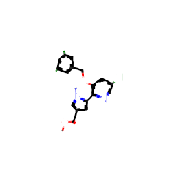 COC(=O)c1cc(-c2ncc(Cl)cc2OCc2cc(F)cc(F)c2)n(C)c1